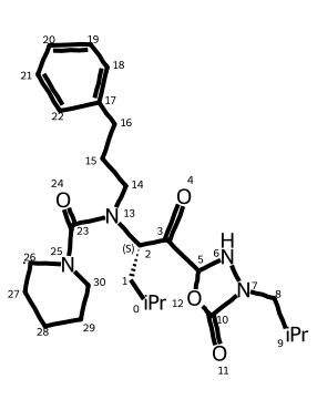 CC(C)C[C@@H](C(=O)C1NN(CC(C)C)C(=O)O1)N(CCCc1ccccc1)C(=O)N1[CH]CCCC1